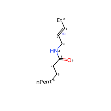 CC/C=C/CNC(=O)CCCCCCC